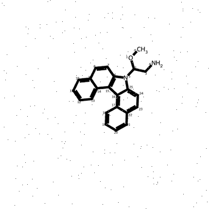 COC(CN)n1c2ccc3ccccc3c2c2c3ccccc3ccc21